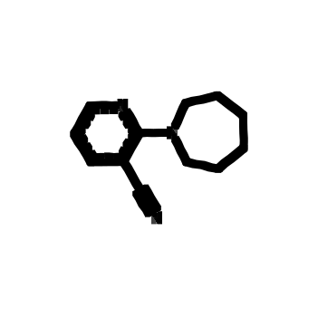 N#Cc1cccnc1N1CCCCCC1